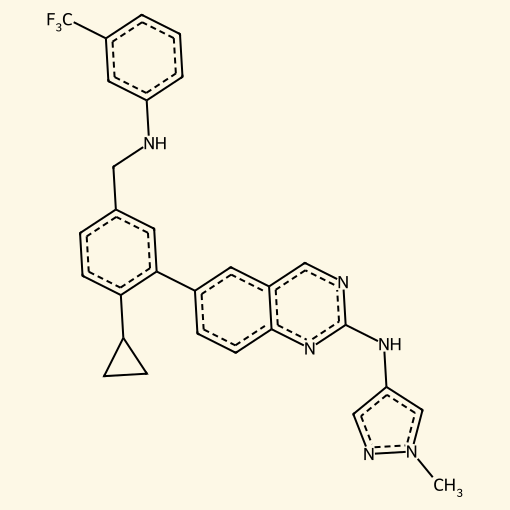 Cn1cc(Nc2ncc3cc(-c4cc(CNc5cccc(C(F)(F)F)c5)ccc4C4CC4)ccc3n2)cn1